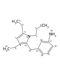 CCCn1c(CC)cc(CC)c1Cc1cccc(N)c1